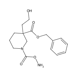 NOC(=O)N1CCCC(CCO)(C(=O)OCc2ccccc2)C1